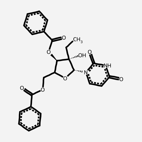 CC[C@]1(O)[C@H](OC(=O)c2ccccc2)C(COC(=O)c2ccccc2)O[C@H]1n1ccc(=O)[nH]c1=O